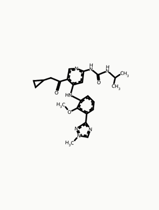 COc1c(Nc2cc(NC(=O)NC(C)C)ncc2C(=O)CC2CC2)cccc1-c1ncn(C)n1